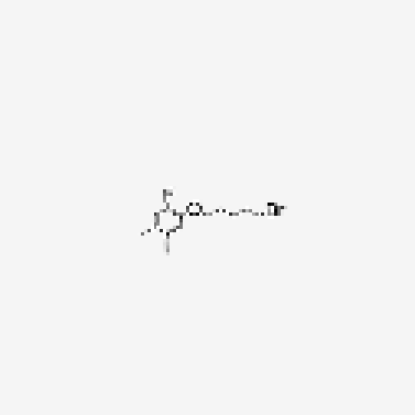 Cc1cc(F)c(OCCCCCBr)cc1I